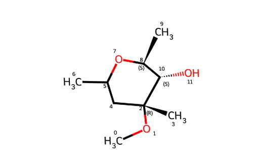 CO[C@]1(C)CC(C)O[C@@H](C)[C@@H]1O